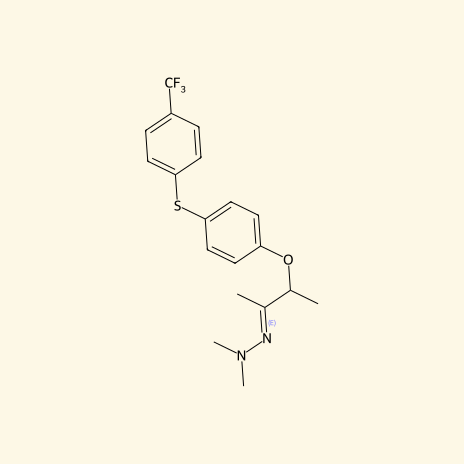 C/C(=N\N(C)C)C(C)Oc1ccc(Sc2ccc(C(F)(F)F)cc2)cc1